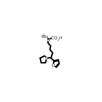 CC(C)(C)N(CCCCC(c1ccco1)N1CCCC1)C(=O)O